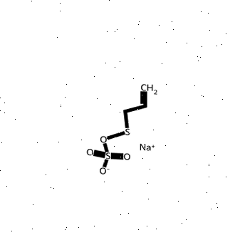 C=CCSOS(=O)(=O)[O-].[Na+]